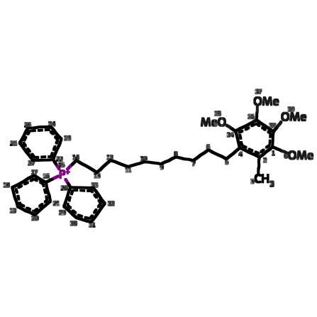 COc1c(C)c(CCCCCCCCCC[P+](c2ccccc2)(c2ccccc2)c2ccccc2)c(OC)c(OC)c1OC